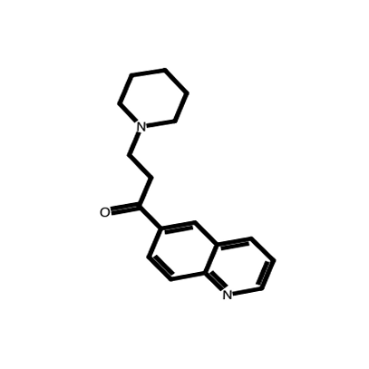 O=C(CCN1CCCCC1)c1ccc2ncccc2c1